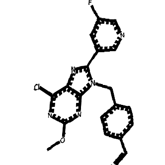 COc1nc(Cl)c2nc(-c3cncc(F)c3)n(Cc3ccc(C=O)cc3)c2n1